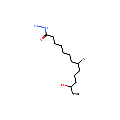 CCCCCC(O)CCCC(CCCCCCC(=O)NN)C(C)=O